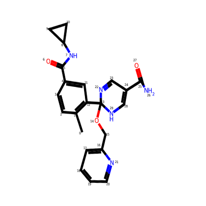 Cc1ccc(C(=O)NC2CC2)cc1C1(OCc2ccccn2)N=CC(C(N)=O)=CN1